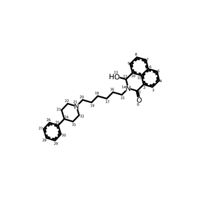 O=C1c2cccc3cccc(c23)C(O)N1CCCCCCN1CCC(c2ccccc2)CC1